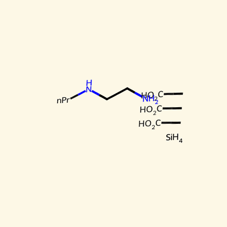 CC(=O)O.CC(=O)O.CC(=O)O.CCCNCCN.[SiH4]